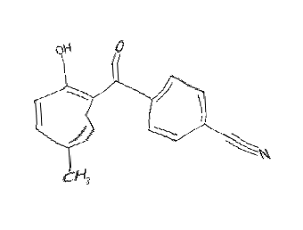 Cc1ccc(O)c(C(=O)c2ccc(C#N)cc2)c1